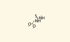 CNC(=S)NCC(OC)OC